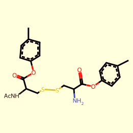 CC(=O)NC(CSSCC(N)C(=O)Oc1ccc(C)cc1)C(=O)Oc1ccc(C)cc1